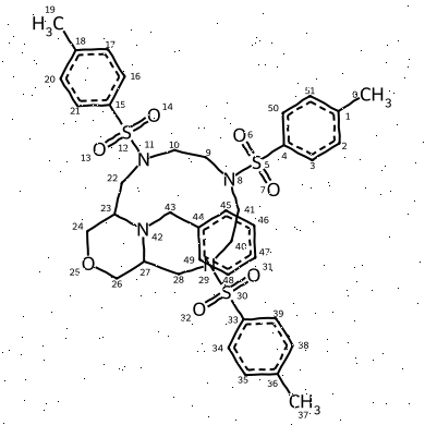 Cc1ccc(S(=O)(=O)N2CCN(S(=O)(=O)c3ccc(C)cc3)CC3COCC(CN(S(=O)(=O)c4ccc(C)cc4)CC2)N3Cc2ccccc2)cc1